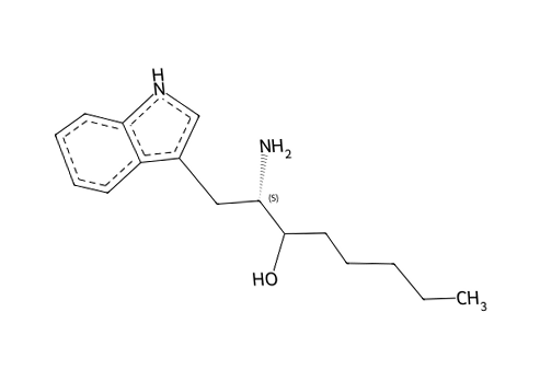 CCCCCC(O)[C@@H](N)Cc1c[nH]c2ccccc12